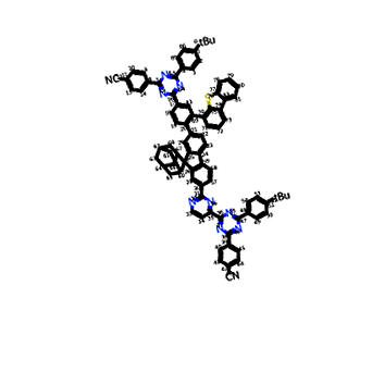 CC(C)(C)c1ccc(-c2nc(-c3ccc(C#N)cc3)nc(-c3ccc(-c4ccc5c(c4)C4(c6cc(-c7nccc(-c8nc(-c9ccc(C#N)cc9)nc(-c9ccc(C(C)(C)C)cc9)n8)n7)ccc6-5)C5CC6CC(C5)CC4C6)c(-c4cccc5c4sc4ccccc45)c3)n2)cc1